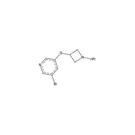 CCCN1CC(Oc2cncc(Br)c2)C1